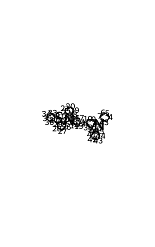 CN(c1ccccc1)c1ccc(-c2ccc3c(c2)c2ccccc2n3-c2cccc3c2sc2ccccc23)cc1-c1ccccc1